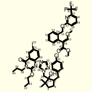 CC1(C)CCC(Cc2ccc(Cl)cc2)C1(O)Cn1cncn1.CCCOc1nc2ccc(I)cc2c(=O)n1CCC.CO/C=C(/C(=O)OC)c1ccccc1COc1cccc(C(F)(F)F)n1